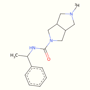 [2H]N1CC2CN(C(=O)NC(C)c3ccccc3)CC2C1